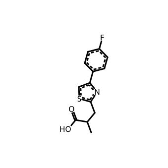 CC(Cc1nc(-c2ccc(F)cc2)cs1)C(=O)O